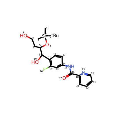 CC(C)(C)[Si](C)(C)OC(CCO)C(O)c1ccc(NC(=O)c2ccccn2)cc1F